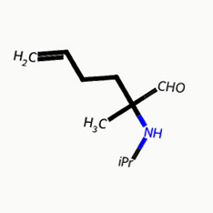 C=CCCC(C)(C=O)NC(C)C